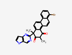 CC1C(=O)c2c(ccc3c2ccc2c(Br)cccc23)C(C)(c2ncc3c(n2)C=C[N]3)C1=O